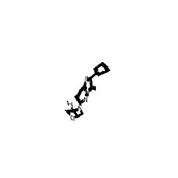 Cc1c(-c2ccccc2)nc2ccc(N3CC4OC[C@@H]43)nn12